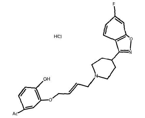 CC(=O)c1ccc(O)c(OCC=CCN2CCC(c3noc4cc(F)ccc34)CC2)c1.Cl